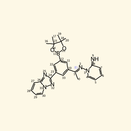 C/C(=N\n1ccccc1=N)c1cc(B2OC(C)(C)C(C)(C)O2)cc(-c2nc3ccccn3n2)c1